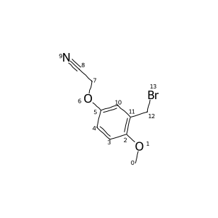 COc1ccc(OCC#N)cc1CBr